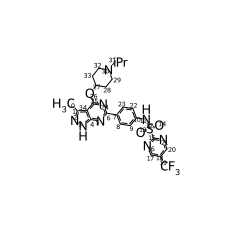 Cc1n[nH]c2nc(-c3ccc(NS(=O)(=O)c4ncc(C(F)(F)F)cn4)cc3)nc(OC3CCN(C(C)C)CC3)c12